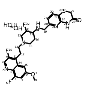 COc1cc(F)c2ncc(F)c(CCN3CCC(NCc4ccc5c(n4)NC(=O)CS5)C(F)C3)c2c1.Cl.Cl